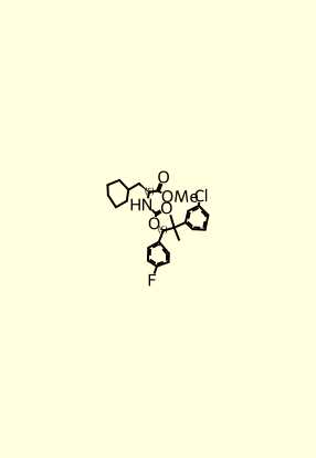 COC(=O)[C@H](CC1CCCCC1)NC(=O)O[C@@H](c1ccc(F)cc1)C(C)(C)c1cccc(Cl)c1